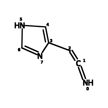 N=C=Cc1c[nH]cn1